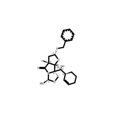 CC(C)(C)[C@@H]1OC[C@]2([C@H](O)[C@@H]3C=CCCC3)N1C(=O)[C@@H]1C[C@H](OCc3ccccc3)O[C@@]12C